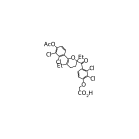 CCC1=C(c2ccc(OC(C)=O)c(Cl)c2Cl)OC(CC)(C(=O)c2ccc(OCC(=O)O)c(Cl)c2Cl)CC1